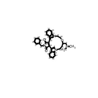 CN(C)CC1CCn2cc(c3ccccc32)C2=C(C(=O)N(Cc3ccccc3)C2=O)c2cn(c3ccccc23)CCO1